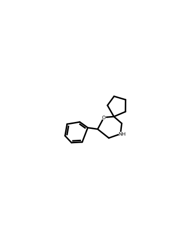 c1ccc(C2CNCC3(CCCC3)O2)cc1